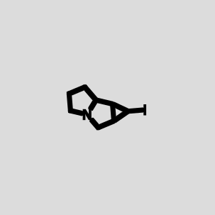 IC1C2CN3CCCC3C12